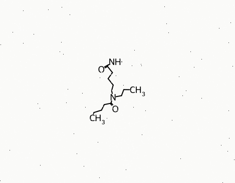 CCCCC(=O)N(CCC)CCCCC([NH])=O